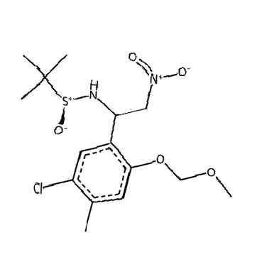 COCOc1cc(C)c(Cl)cc1C(C[N+](=O)[O-])N[S@@+]([O-])C(C)(C)C